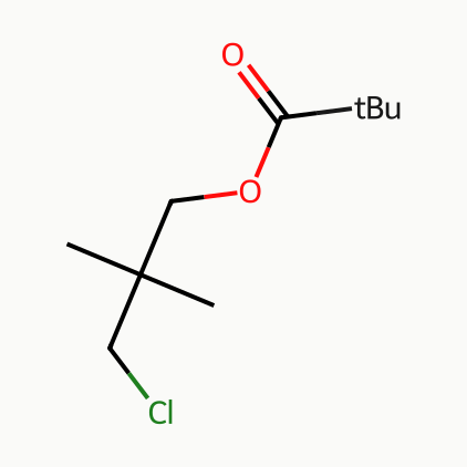 CC(C)(CCl)COC(=O)C(C)(C)C